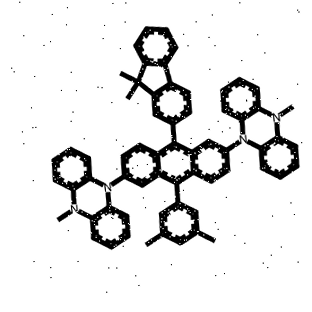 Cc1cc(C)cc(-c2c3ccc(N4c5ccccc5N(C)c5ccccc54)cc3c(-c3ccc4c(c3)C(C)(C)c3ccccc3-4)c3ccc(N4c5ccccc5N(C)c5ccccc54)cc23)c1